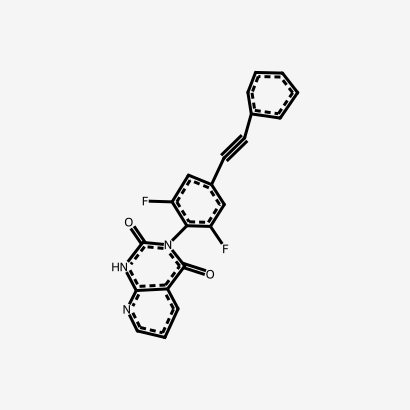 O=c1[nH]c2ncccc2c(=O)n1-c1c(F)cc(C#Cc2ccccc2)cc1F